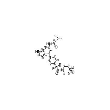 O=C(Nc1cc(-c2ccc(C(F)(F)C(=O)N3CCS(=O)(=O)CC3)cc2)c2cc[nH]c2n1)C1CC1